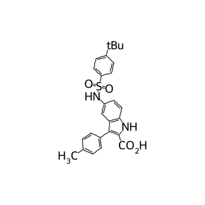 Cc1ccc(-c2c(C(=O)O)[nH]c3ccc(NS(=O)(=O)c4ccc(C(C)(C)C)cc4)cc23)cc1